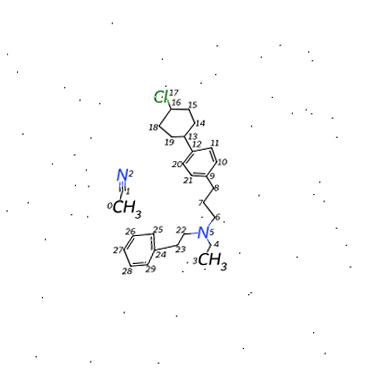 CC#N.CCN(CCCc1ccc(C2CCC(Cl)CC2)cc1)CCc1ccccc1